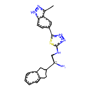 Cc1n[nH]c2ccc(-c3nnc(NC[C@@H](N)C4Cc5ccccc5C4)s3)cc12